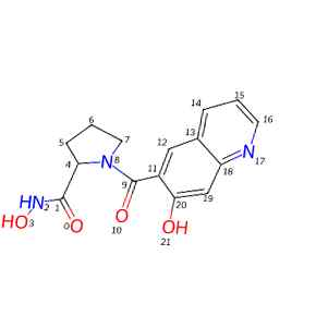 O=C(NO)C1CCCN1C(=O)c1cc2cccnc2cc1O